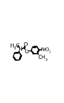 Cc1cc(OC(=O)N(C)c2ccccc2)ccc1[N+](=O)[O-]